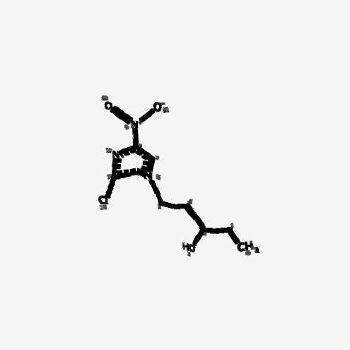 CCC(O)CCn1cc([N+](=O)[O-])nc1Cl